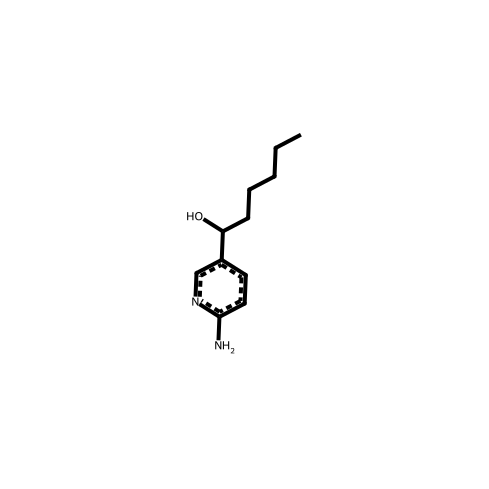 CCCCCC(O)c1ccc(N)nc1